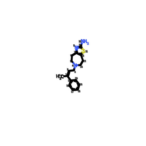 CC(=CCN1CCc2nc(N)sc2CC1)c1ccccc1